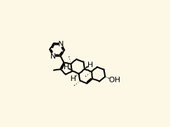 CC1=C(c2cnccn2)[C@@]2(C)CC[C@H]3[C@@H]([C@@H](C)C=C4C[C@@H](O)CC[C@@]43C)[C@@H]2C1